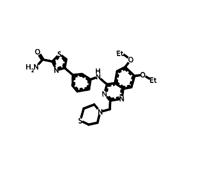 CCOc1cc2nc(CN3CCSCC3)nc(Nc3cccc(-c4csc(C(N)=O)n4)c3)c2cc1OCC